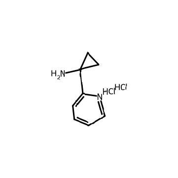 Cl.Cl.NC1(c2ccccn2)CC1